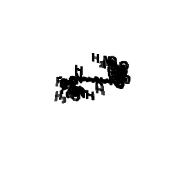 Cn1cc(-c2cc(NCCCCCCNCCCCNc3cccc4c3C(=O)N(C3CCC(=O)N(CNC(=O)CN)C3=O)C4=O)ccc2Oc2ccc(F)cc2F)c2cc[nH]c2c1=O